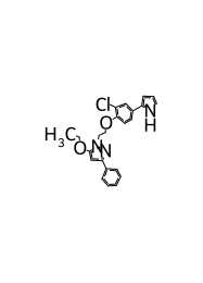 CCOc1cc(-c2ccccc2)nn1CCOc1ccc(-c2ccc[nH]2)cc1Cl